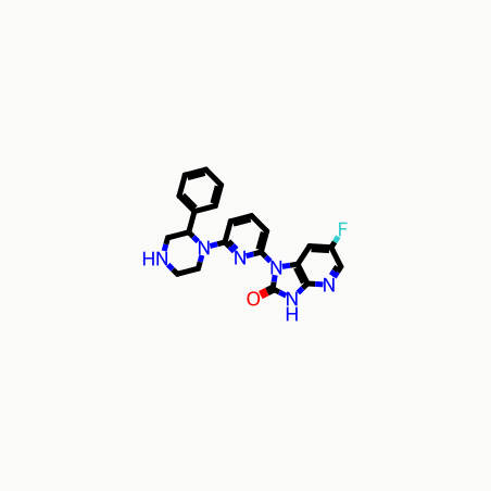 O=c1[nH]c2ncc(F)cc2n1-c1cccc(N2CCNCC2c2ccccc2)n1